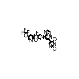 COc1ncc(-c2cc(N3CC(Oc4ccc(OC(F)(F)F)cn4)C(F)(F)C3)c3nccn3n2)c(OC)n1